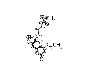 CCCc1cc(=O)oc2cc(OC)c(OCCCOS(C)(=O)=O)cc12